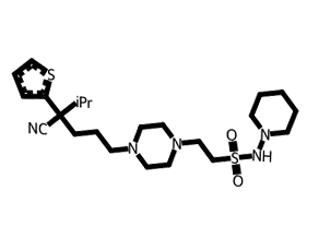 CC(C)C(C#N)(CCCN1CCN(CCS(=O)(=O)NN2CCCCC2)CC1)c1cccs1